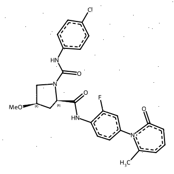 CO[C@@H]1C[C@H](C(=O)Nc2ccc(-n3c(C)cccc3=O)cc2F)N(C(=O)Nc2ccc(Cl)cc2)C1